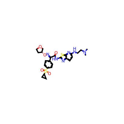 CN(C)CCNc1ccc2nc(NC(=O)/C(=N/O[C@@H]3CCOC3)c3ccc(S(=O)(=O)C4CC4)cc3)sc2n1